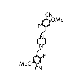 COc1cc(CCN2CCN(CCc3cc(OC)c(C#N)cc3F)CC2)c(F)cc1C#N